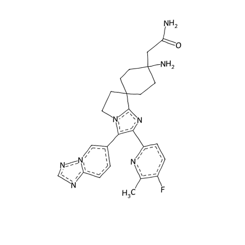 Cc1nc(-c2nc3n(c2-c2ccc4ncnn4c2)CCC32CCC(N)(CC(N)=O)CC2)ccc1F